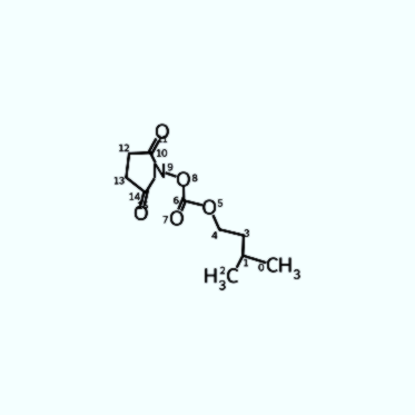 CC(C)CCOC(=O)ON1C(=O)CCC1=O